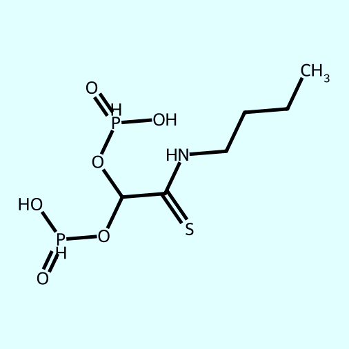 CCCCNC(=S)C(O[PH](=O)O)O[PH](=O)O